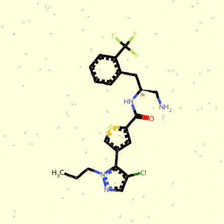 CCCn1ncc(Cl)c1-c1csc(C(=O)N[C@H](CN)Cc2ccccc2C(F)(F)F)c1